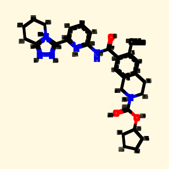 COc1cc2c(cc1C(=O)Nc1cccc(-c3nnc4n3CCCC4)n1)CN(C(=O)OC1CCCC1)CC2